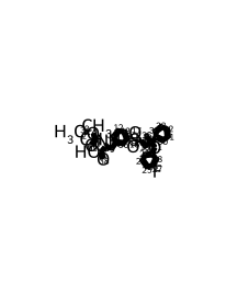 CC(C)(C)OC(=O)NC(Cc1cccc(S(=O)(=O)N2CC(Oc3cccc(F)c3)(c3ccccc3)C2)c1)C(=O)O